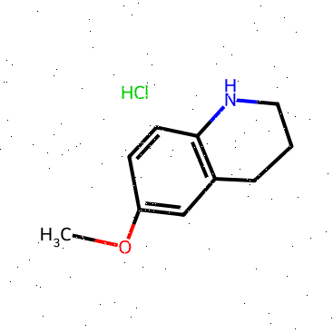 COc1ccc2c(c1)CCCN2.Cl